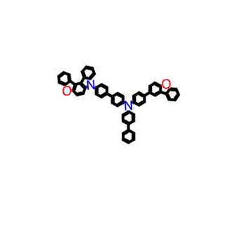 c1ccc(-c2ccc(N(c3ccc(-c4ccc(-n5c6ccccc6c6c7c(ccc65)oc5ccccc57)cc4)cc3)c3ccc(-c4ccc5oc6ccccc6c5c4)cc3)cc2)cc1